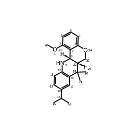 COc1cccc2c1[C@H]1Nc3ccc(C(C)C)cc3C(C)(C)[C@H]1CO2